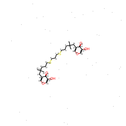 CC(C)(CCCSCCCSCCCC(C)(C)Cc1cocc(O)c1=O)Cc1cocc(O)c1=O